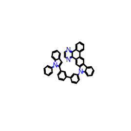 c1ccc(-n2c(-c3cccc(-c4cccc(-n5c6ccccc6c6cc7c8ccccc8c8nccnc8c7cc65)c4)c3)cc3ccccc32)cc1